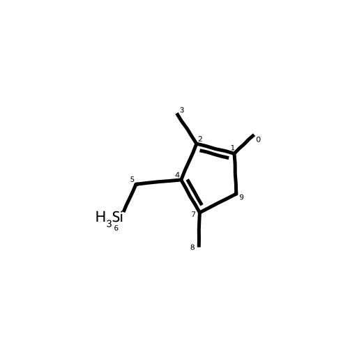 CC1=C(C)C(C[SiH3])=C(C)C1